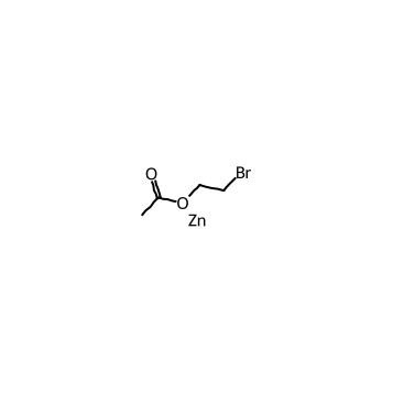 CC(=O)OCCBr.[Zn]